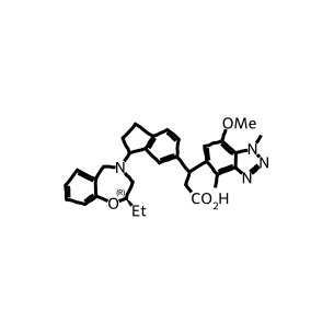 CC[C@@H]1CN(C2CCc3ccc(C(CC(=O)O)c4cc(OC)c5c(nnn5C)c4C)cc32)Cc2ccccc2O1